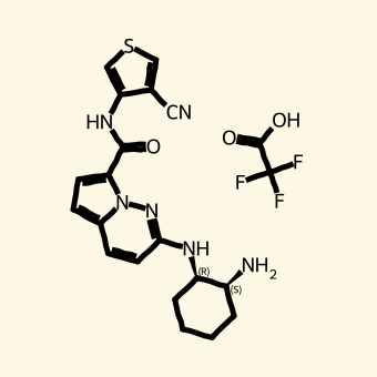 N#Cc1cscc1NC(=O)c1ccc2ccc(N[C@@H]3CCCC[C@@H]3N)nn12.O=C(O)C(F)(F)F